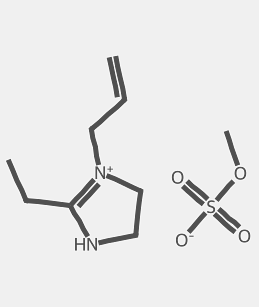 C=CC[N+]1=C(CC)NCC1.COS(=O)(=O)[O-]